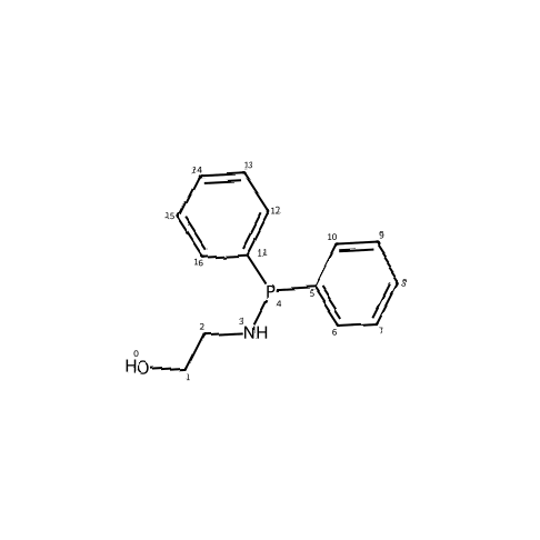 OCCNP(c1ccccc1)c1ccccc1